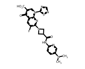 CN(C)c1ccc(NC(=O)C2CN(c3nc4c(cc3F)c(=O)c(C(=O)O)cn4-c3ncns3)C2)nc1